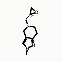 Cn1cc2c(n1)CCN(C[C@@H]1CO1)C2